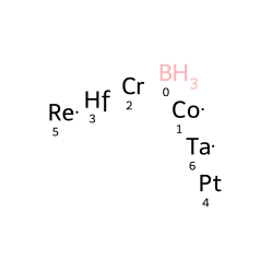 B.[Co].[Cr].[Hf].[Pt].[Re].[Ta]